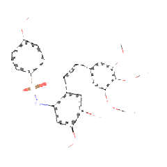 COc1ccc(S(=O)(=O)Nc2cc(OC)c(O)cc2C=Cc2cc(OC)c(OC)c(OC)c2)cc1